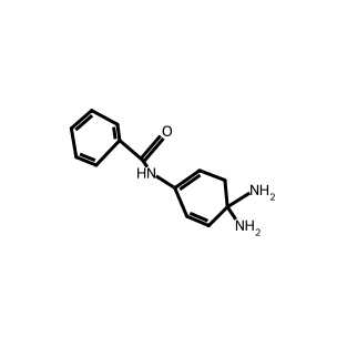 NC1(N)C=CC(NC(=O)c2ccccc2)=CC1